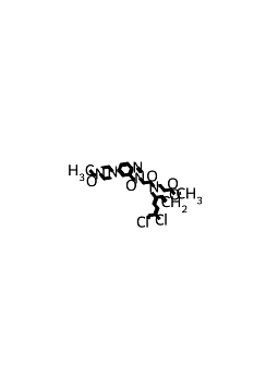 C=C/C(=C\C=C(\Cl)CCl)CN(CCC(=O)OC)C(=O)Cn1cnc2ccc(N3CCN(C(C)=O)CC3)cc2c1=O